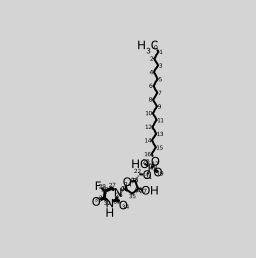 CCCCCCCCCCCCCCCCCOP(=O)(O)OC[C@H]1O[C@@H](n2cc(F)c(=O)[nH]c2=O)C[C@@H]1O